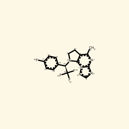 Cc1nc2ncnn2c2c1CCN2[C@H](c1ccc(F)cc1)C(F)(F)F